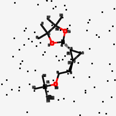 CC1(C)OB([C@@H]2C[C@H]2CCO[Si](C)(C)C(C)(C)C)OC1(C)C